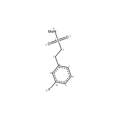 CNS(=O)(=O)CCc1cccc(F)c1